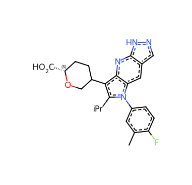 Cc1cc(-n2c(C(C)C)c(C3CC[C@@H](C(=O)O)OC3)c3nc4[nH]ncc4cc32)ccc1F